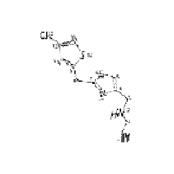 CC(C)CNCc1csc(Cc2cc(Cl)cs2)n1